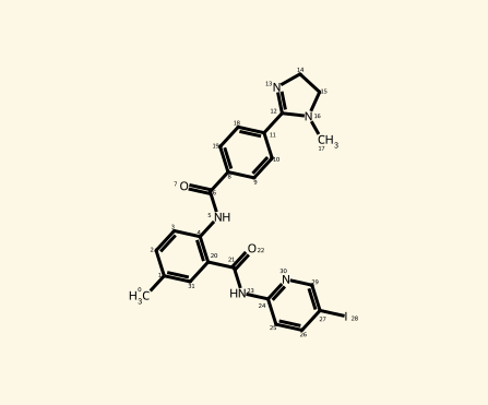 Cc1ccc(NC(=O)c2ccc(C3=NCCN3C)cc2)c(C(=O)Nc2ccc(I)cn2)c1